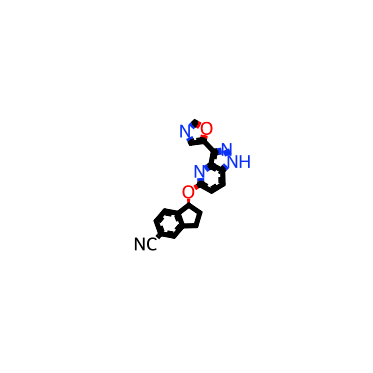 N#Cc1ccc2c(c1)CC[C@@H]2Oc1ccc2[nH]nc(-c3cnco3)c2n1